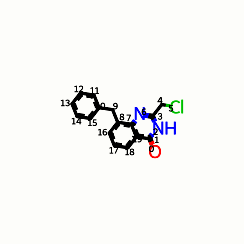 O=c1[nH]c(CCl)nc2c(Cc3ccccc3)cccc12